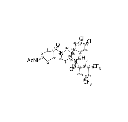 CC(=O)NC1CCC(C(=O)N2CC[C@@H](N(C)C(=O)c3cc(C(F)(F)F)cc(C(F)(F)F)c3)[C@H](c3ccc(Cl)c(Cl)c3)C2)CC1